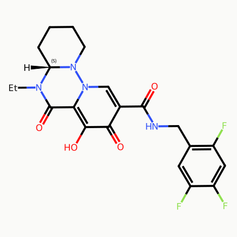 CCN1C(=O)c2c(O)c(=O)c(C(=O)NCc3cc(F)c(F)cc3F)cn2N2CCCC[C@@H]12